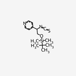 CC(C)(C)[Si](C)(C)OCC(N=C=S)c1ccncc1